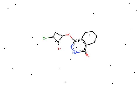 O=c1[nH]nc(OC2CC(Cl)[C@H]2Br)c2c1CCCC2